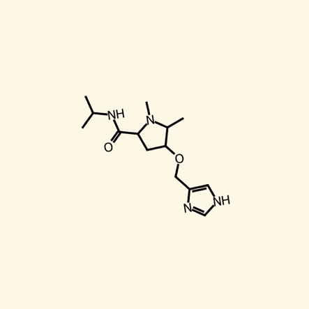 CC(C)NC(=O)C1CC(OCc2c[nH]cn2)C(C)N1C